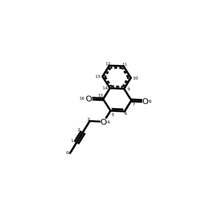 CC#CCOC1=CC(=O)c2ccccc2C1=O